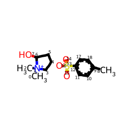 C[N+]1(C)CCCC1O.Cc1ccc(S(=O)(=O)[O-])cc1